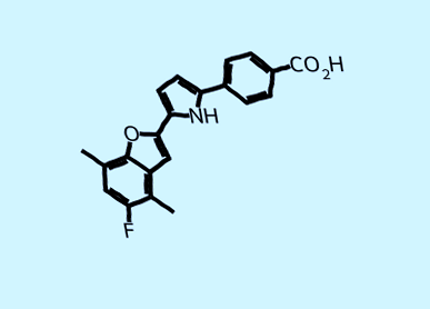 Cc1c(F)cc(C)c2oc(-c3ccc(-c4ccc(C(=O)O)cc4)[nH]3)cc12